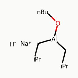 CCCC[O][Al]([CH2]C(C)C)[CH2]C(C)C.[H-].[Na+]